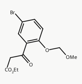 CCOC(=O)CC(=O)c1cc(Br)ccc1OCOC